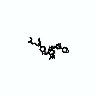 CCCN(CCCC(C)CC)C1CCC(Nc2nc(Nc3cnn(C4CCOCC4)c3)nc3c2C(C)=N3)CC1